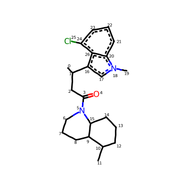 CC(CC(=O)N1CCCC2C(C)CCCC21)c1cn(C)c2cccc(Cl)c12